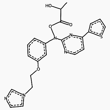 CC(O)C(=O)ON(c1cccc(OCCn2ccnc2)c1)c1nccc(-c2cccs2)n1